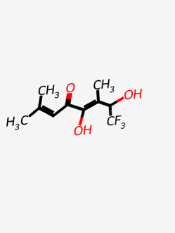 CC(C)=CC(=O)/C(O)=C(\C)C(O)C(F)(F)F